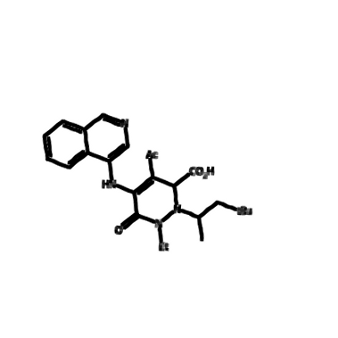 CCN1C(=O)C(Nc2cncc3ccccc23)=C(C(C)=O)C(C(=O)O)N1C(C)CC(C)(C)C